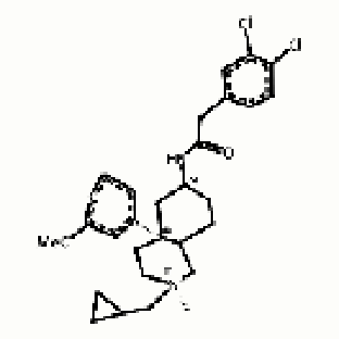 COc1cccc([C@@]23CC[N@+](C)(CC4CC4)CC2CC[C@H](NC(=O)Cc2ccc(Cl)c(Cl)c2)C3)c1